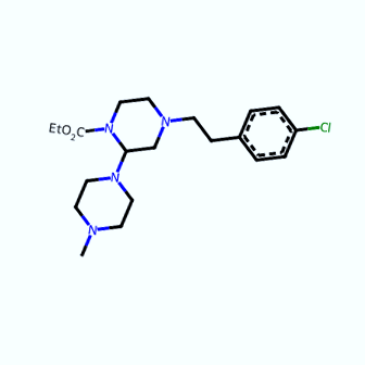 CCOC(=O)N1CCN(CCc2ccc(Cl)cc2)CC1N1CCN(C)CC1